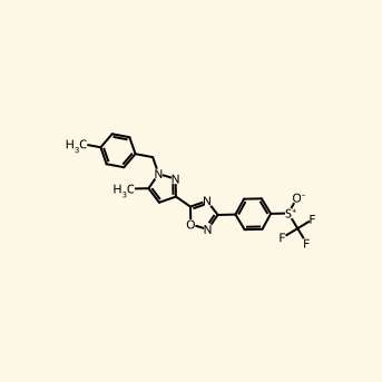 Cc1ccc(Cn2nc(-c3nc(-c4ccc([S+]([O-])C(F)(F)F)cc4)no3)cc2C)cc1